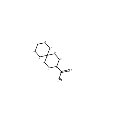 O=C(O)C1C[CH]C2(CCCCC2)CC1